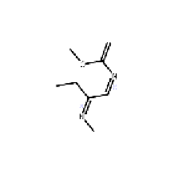 C=C(/N=C\C(CC)=N/C)OC